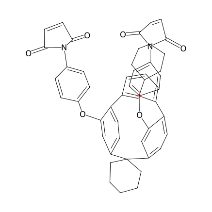 O=C1C=CC(=O)N1c1ccc(Oc2cc3ccc2-c2cccc(c2C2CCCCC2)-c2ccc(cc2Oc2ccc(N4C(=O)C=CC4=O)cc2)C32CCCCC2)cc1